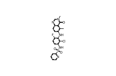 Cc1c(Nc2c(F)ccc(NS(=O)(=O)c3ccccn3)c2Cl)ccc2ncn(C)c(=O)c12